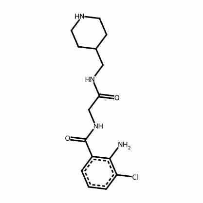 Nc1c(Cl)cccc1C(=O)NCC(=O)NCC1CCNCC1